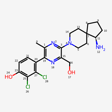 Cc1nc(N2CCC3(CCC[C@H]3N)CC2)c(CO)nc1-c1ccc(O)c(Cl)c1Cl